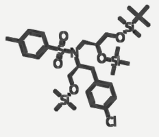 Cc1ccc(S(=O)(=O)N(C[C@@H](CO[Si](C)(C)C(C)(C)C)O[Si](C)(C)C)[C@H](CO[Si](C)(C)C)Cc2ccc(Cl)cc2)cc1